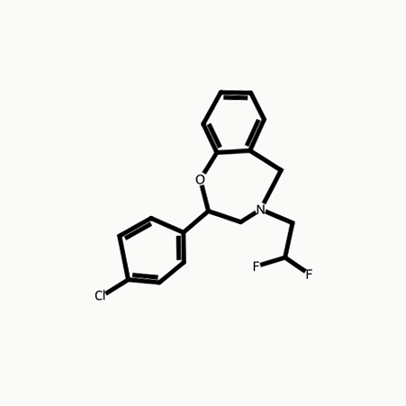 FC(F)CN1Cc2ccccc2OC(c2ccc(Cl)cc2)C1